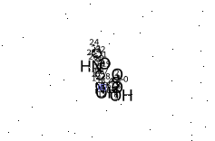 CC(=O)SCC(CC(=O)O)/C(=N\O)c1ccc(NC(=O)c2ccc(C)cc2)cc1